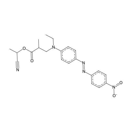 CCN(CC(C)C(=O)OC(C)C#N)c1ccc(/N=N/c2ccc([N+](=O)[O-])cc2)cc1